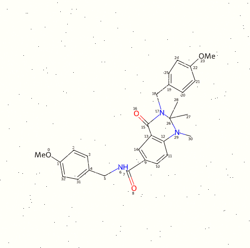 COc1ccc(CNC(=O)c2ccc3c(c2)C(=O)N(Cc2ccc(OC)cc2)C(C)(C)N3C)cc1